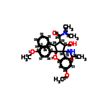 COc1ccc(C23Oc4cc(OC)ccc4C2(NC(C)=O)C(O)C(C(=O)N(C)C)C3c2ccccc2)cc1